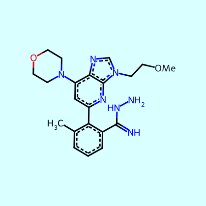 COCCn1cnc2c(N3CCOCC3)cc(-c3c(C)cccc3C(=N)NN)nc21